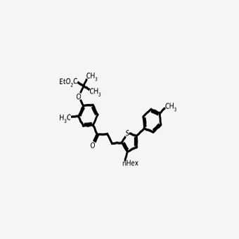 CCCCCCc1cc(-c2ccc(C)cc2)sc1CCC(=O)c1ccc(OC(C)(C)C(=O)OCC)c(C)c1